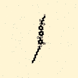 CCCCCCCCCCCCOc1ccc(C(=O)Oc2ccc([C@H]3CC[C@H](OC(=O)[C@@H](F)CCCC)CC3)cc2)cc1Br